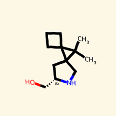 CC1(C)C2(CCC2)C12CN[C@H](CO)C2